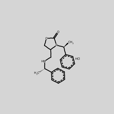 C[C@H](NCC1COC(=O)N1[C@@H](C)c1ccccc1)c1ccccc1.Cl